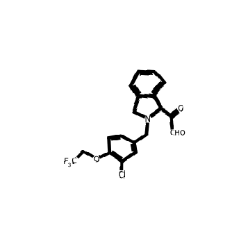 O=CC(=O)C1c2ccccc2CN1Cc1ccc(OCC(F)(F)F)c(Cl)c1